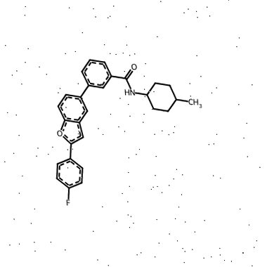 CC1CCC(NC(=O)c2cccc(-c3ccc4oc(-c5ccc(F)cc5)cc4c3)c2)CC1